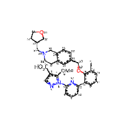 COc1c(C(=O)O)cnn1-c1cccc(-c2cccc(C)c2OCc2ccc3c(c2)CCN(C[C@@H]2CCOC2)C3)n1